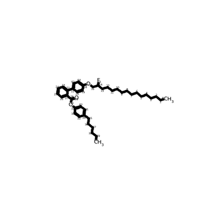 CCCCCCCCCCCCCCC(F)COc1ccc(-c2ccccc2C(=O)Oc2ccc(CCCCCC)cc2)cc1